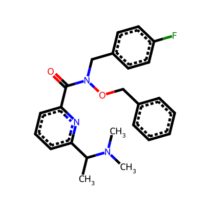 CC(c1cccc(C(=O)N(Cc2ccc(F)cc2)OCc2ccccc2)n1)N(C)C